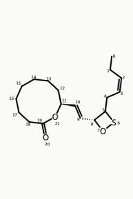 CC/C=C\CC1SO[C@@H]1/C=C/[C@@H]1CCCCCCCC(=O)O1